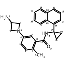 Cc1ccc(N2CC(N)C2)cc1C(=O)NC1(c2cccc3ccccc23)CC1